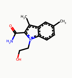 Cc1[c]cc2c(c1)c(C)c(C(N)=O)n2CCO